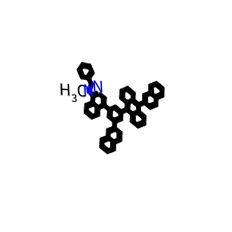 Cn1c(-c2ccccc2)nc2cc(-c3cc(-c4ccc5ccccc5c4)cc(-c4c5ccccc5c(-c5ccc6ccccc6c5)c5ccccc45)c3)c3ccccc3c21